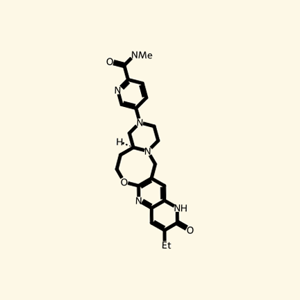 CCc1cc2nc3c(cc2[nH]c1=O)CN1CCN(c2ccc(C(=O)NC)nc2)C[C@@H]1CCO3